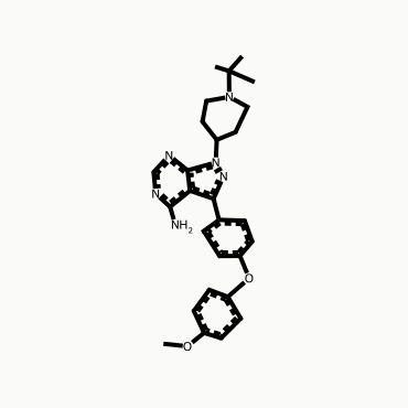 COc1ccc(Oc2ccc(-c3nn(C4CCN(C(C)(C)C)CC4)c4ncnc(N)c34)cc2)cc1